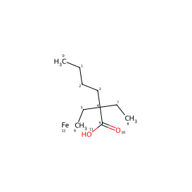 CCCCC(CC)(CC)C(=O)O.[Fe]